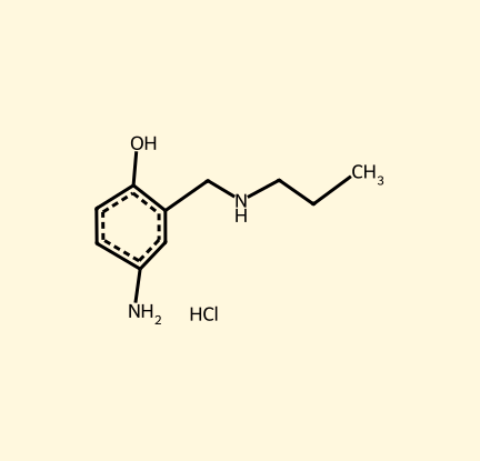 CCCNCc1cc(N)ccc1O.Cl